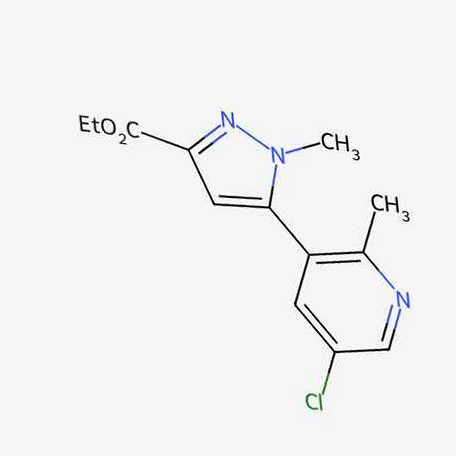 CCOC(=O)c1cc(-c2cc(Cl)cnc2C)n(C)n1